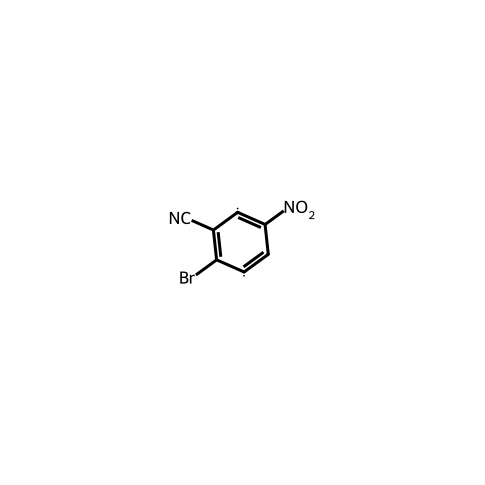 N#Cc1[c]c([N+](=O)[O-])c[c]c1Br